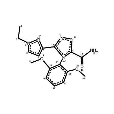 CCn1ccc(-c2nnc(C(N)=O)n2-c2c(OC)cccc2OC)n1